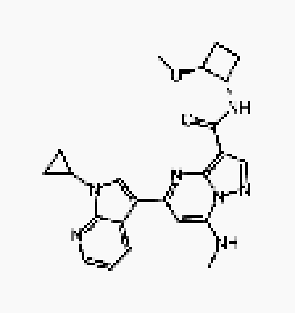 CNc1cc(-c2cn(C3CC3)c3ncccc23)nc2c(C(=O)N[C@H]3CC[C@@H]3OC)cnn12